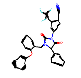 N#Cc1ccc(N2C(=O)C(c3ccccc3)N(Cc3ccccc3Oc3ccccc3)C2=O)cc1C(F)(F)F